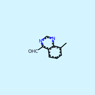 Cc1cccc2c(C=O)ncnc12